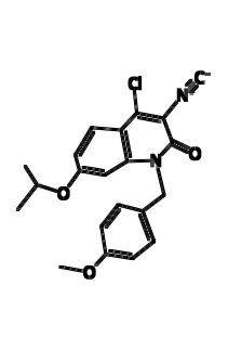 [C-]#[N+]c1c(Cl)c2ccc(OC(C)C)cc2n(Cc2ccc(OC)cc2)c1=O